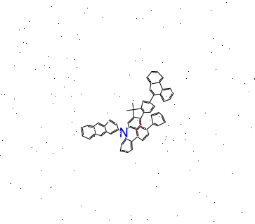 CC1(C)c2cc(-c3cc4ccccc4c4ccccc34)ccc2-c2ccc(N(c3ccc4cc5ccccc5cc4c3)c3ccccc3-c3ccc(-c4ccccc4)cc3)cc21